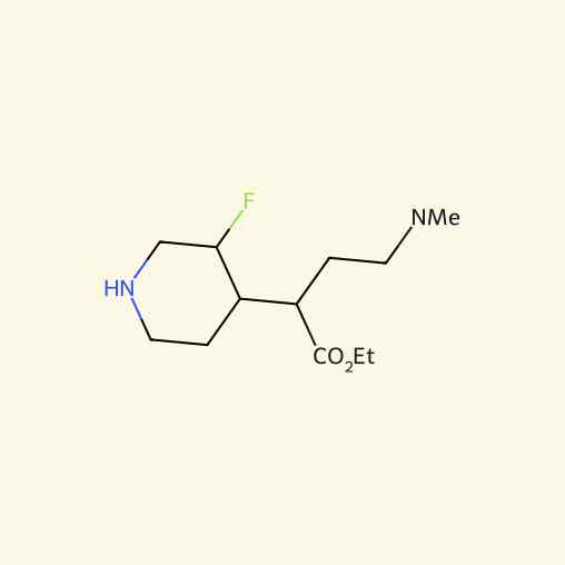 CCOC(=O)C(CCNC)C1CCNCC1F